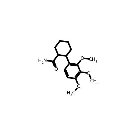 COc1ccc(C2CCCCC2C(N)=O)c(OC)c1OC